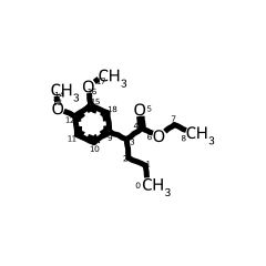 CCCC(C(=O)OCC)c1[c]cc(OC)c(OC)c1